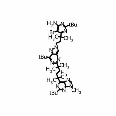 Cn1cnc2c(C(C)(C)CCC(C)(C)c3nc(C(C)(C)C)c4nn(CCC(C)(C)c5nc(C(C)(C)C)nc(N)c5Br)cc4n3)nc(C(C)(C)C)nc21